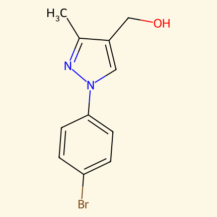 Cc1nn(-c2ccc(Br)cc2)cc1CO